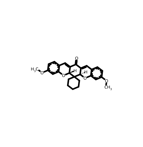 COc1ccc2c(c1)O[C@@H]1C(=C2)C(=O)C2=Cc3ccc(OC)cc3O[C@H]2C12CCCCC2